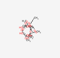 CCC/C=C/C=C/C(=O)O[C@H]1/C(=C/C(=O)OC)C[C@H]2C[C@H]([C@@H](C)O)OC(=O)C[C@H](O)CC[C@@H]3C[C@H](OC(C)=O)C(C)(C)[C@](O)(C[C@@H]4C/C(=C/C(=O)OC)C[C@H](/C=C/C(C)(C)[C@]1(O)O2)O4)O3